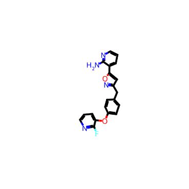 Nc1ncccc1-c1cc(Cc2ccc(Oc3cccnc3F)cc2)no1